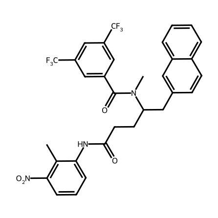 Cc1c(NC(=O)CCC(Cc2ccc3ccccc3c2)N(C)C(=O)c2cc(C(F)(F)F)cc(C(F)(F)F)c2)cccc1[N+](=O)[O-]